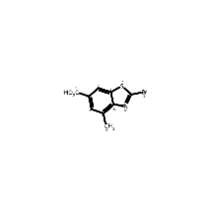 Cc1cc(C(=O)O)cc2sc(Br)nc12